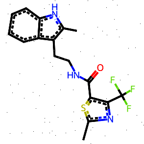 Cc1nc(C(F)(F)F)c(C(=O)NCCc2c(C)[nH]c3ccccc23)s1